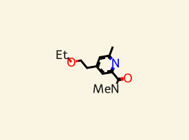 CCOCCc1cc(C)nc(C(=O)NC)c1